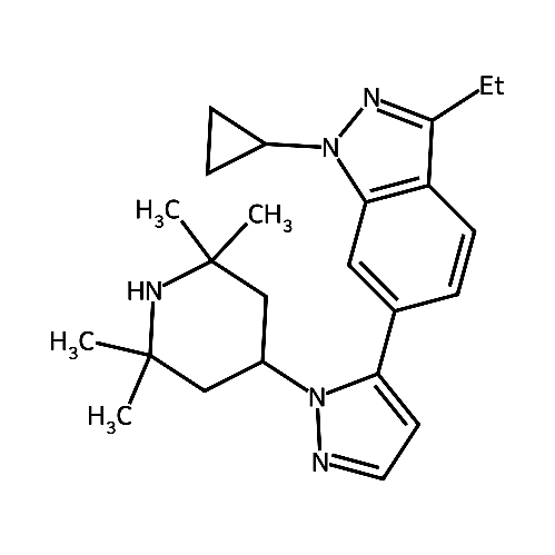 CCc1nn(C2CC2)c2cc(-c3ccnn3C3CC(C)(C)NC(C)(C)C3)ccc12